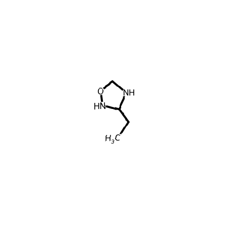 CCC1NCON1